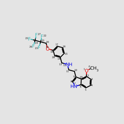 COc1cccc2[nH]cc(CCNCc3cccc(OCC(F)(F)C(F)(F)F)c3)c12